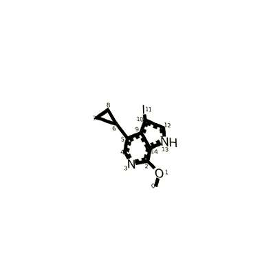 COc1ncc(C2CC2)c2c(I)c[nH]c12